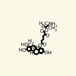 CC(C)(N)C(=O)OC(=O)C(=O)CCCC(=O)Oc1cc(O)cc2c1[C@H]1CC[C@]3(C)[C@@H](O)[C@H](O)C[C@H]3[C@@H]1CC2